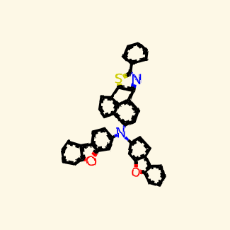 c1ccc(-c2nc3c(s2)-c2cccc4c(N(c5ccc6c(c5)oc5ccccc56)c5ccc6c(c5)oc5ccccc56)ccc-3c24)cc1